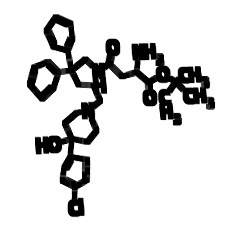 CC(C)(C)OC(=O)C(N)CC(=O)NCC(CCCN1CCC(O)(c2ccc(Cl)cc2)CC1)(c1ccccc1)c1ccccc1